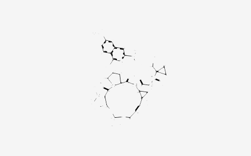 CCN(C)c1cc2cc(OC)ccc2c(O[C@@H]2C[C@H]3C(=O)N[C@]4(C(=O)NS(=O)(=O)C5(CF)CC5)C[C@H]4/C=C\CC[C@H](C)C[C@@H](C)[C@H](N(C(=O)O)C(C)(C)C)C(=O)N3C2)n1